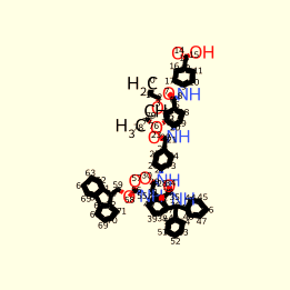 C=CCOc1c(C(=O)Nc2ccc(C(=O)O)cc2)ccc(NC(=O)c2ccc(NC(=O)C(CC(=O)NC(c3ccccc3)(c3ccccc3)c3ccccc3)NC(=O)OCC3c4ccccc4-c4ccccc43)cc2)c1OC(C)C